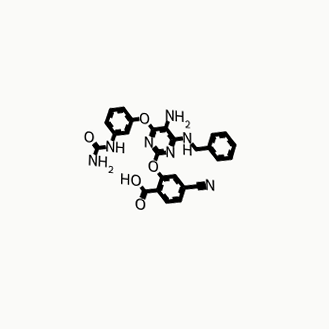 N#Cc1ccc(C(=O)O)c(Oc2nc(NCc3ccccc3)c(N)c(Oc3cccc(NC(N)=O)c3)n2)c1